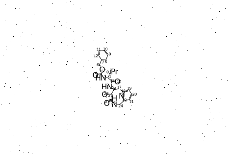 CC(C)C(NC(=O)OCc1ccccc1)C(=O)NC1Cc2cccc(n2)CNC(=O)C1=O